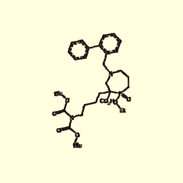 CCOP1(=O)CCCN(Cc2ccccc2-c2ccccc2)CC1(CCCCN(C(=O)OC(C)(C)C)C(=O)OC(C)(C)C)C(=O)O